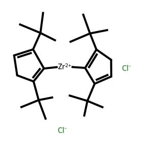 CC(C)(C)C1=CCC(C(C)(C)C)=[C]1[Zr+2][C]1=C(C(C)(C)C)CC=C1C(C)(C)C.[Cl-].[Cl-]